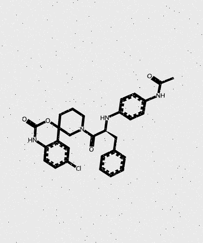 CC(=O)Nc1ccc(N[C@@H](Cc2ccccc2)C(=O)N2CCCC3(C2)OC(=O)Nc2ccc(Cl)cc23)cc1